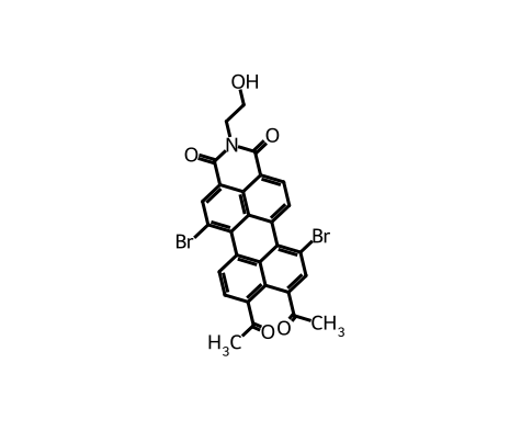 CC(=O)c1ccc2c3c(Br)cc4c5c(ccc(c6c(Br)cc(C(C)=O)c1c26)c53)C(=O)N(CCO)C4=O